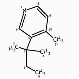 CCC(C)(C)c1cnccc1C